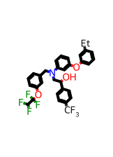 CCc1cccc(Oc2cccc(N(Cc3cccc(OC(F)(F)C(F)F)c3)CC(O)c3ccc(C(F)(F)F)cc3)c2)c1